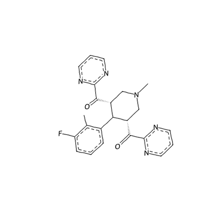 Cc1c(F)cccc1C1[C@@H](C(=O)c2ncccn2)CN(C)C[C@H]1C(=O)c1ncccn1